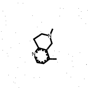 Cc1ccnc2c1CN(C)CC2